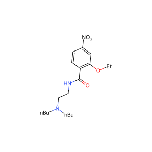 CCCCN(CCCC)CCNC(=O)c1ccc([N+](=O)[O-])cc1OCC